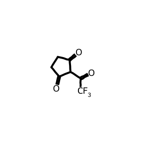 O=C1CCC(=O)C1C(=O)C(F)(F)F